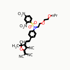 [C-]#[N+]C1=C(/C=C/c2ccc(N(CCOCCOCCC)S(=O)(=O)c3ccc([N+](=O)[O-])cc3[N+](=O)[O-])cc2)C(C)(C)O/C1=C(\C#N)[N+]#[C-]